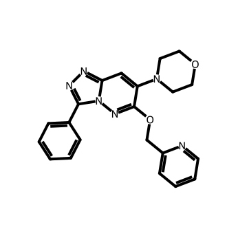 c1ccc(-c2nnc3cc(N4CCOCC4)c(OCc4ccccn4)nn23)cc1